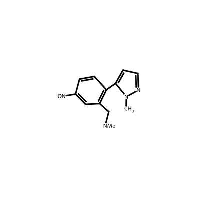 CNCc1cc(N=O)ccc1-c1ccnn1C